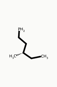 CC[C@H](C)CCP